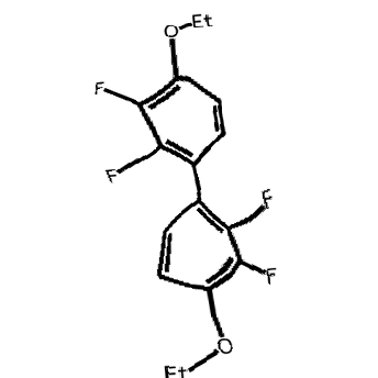 CCOc1ccc(-c2ccc(OCC)c(F)c2F)c(F)c1F